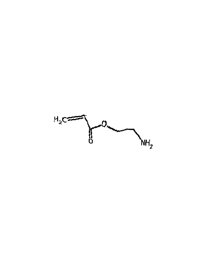 C=[C]C(=O)OCCN